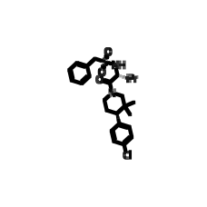 CC(C)[C@@H](NS(=O)(=O)Cc1ccccc1)C(=O)N1CC[C@H](c2ccc(Cl)cc2)C(C)(C)C1